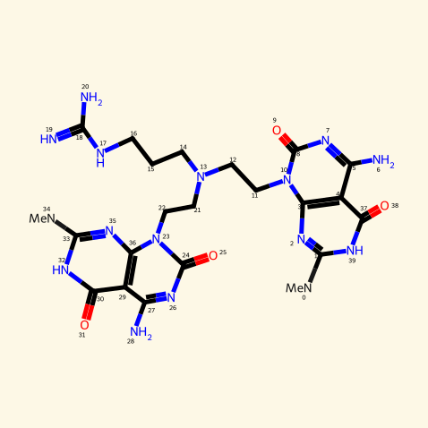 CNc1nc2c(c(N)nc(=O)n2CCN(CCCNC(=N)N)CCn2c(=O)nc(N)c3c(=O)[nH]c(NC)nc32)c(=O)[nH]1